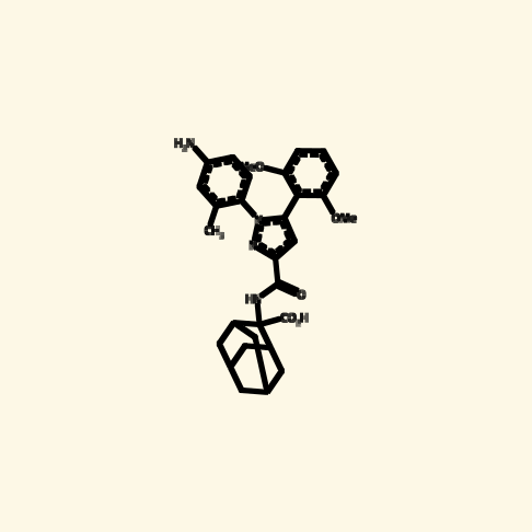 COc1cccc(OC)c1-c1cc(C(=O)NC2(C(=O)O)C3CC4CC(C3)CC2C4)nn1-c1ccc(N)cc1C